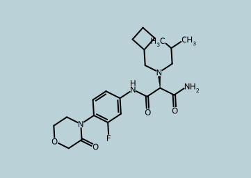 CC(C)CN(CC1CCC1)[C@@H](C(N)=O)C(=O)Nc1ccc(N2CCOCC2=O)c(F)c1